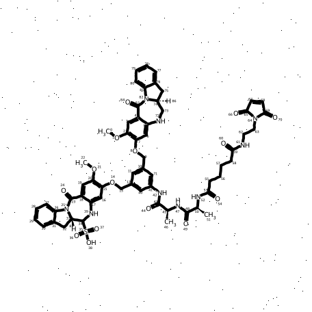 COc1cc2c(cc1OCc1cc(COc3cc4c(cc3OC)C(=O)N3c5ccccc5C[C@H]3C(S(=O)(=O)O)N4)cc(NC(=O)[C@H](C)NC(=O)[C@H](C)NC(=O)CCCCC(=O)NCCN3C(=O)C=CC3=O)c1)NC[C@@H]1Cc3ccccc3N1C2=O